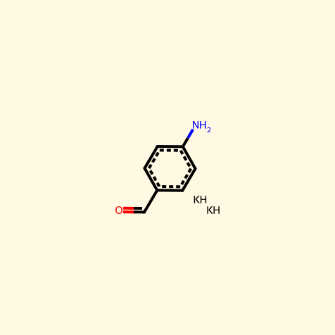 Nc1ccc(C=O)cc1.[KH].[KH]